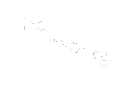 CC(C)C(=O)NCCCNC(=O)Oc1ccc(CCC(=O)OC(C)(C)C)cc1